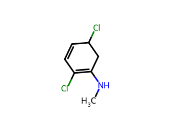 CNC1=C(Cl)C=CC(Cl)C1